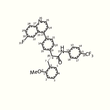 COc1ccccc1C[C@@H](C(=O)Nc1ccc(C(F)(F)F)cc1)c1ccc(-c2ccnc3ccc(F)cc23)cc1